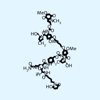 C=C1C[C@@H](CO)N(C(=O)c2cc(OC)c(OCCCCCOc3cc(NC(=O)OCc4cc5c(n4C)C(=O)C=C(OC)C5=O)c(C(=O)N4CC(=C)C[C@H]4CO)cc3OC)cc2NC(=O)OCc2ccc(NC(=O)[C@H](CCCNC(N)=O)NC(=O)[C@@H](NC(=O)CCCCCN3C(=O)C=CC3O)C(C)C)cc2)C1